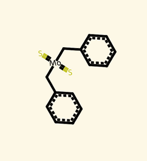 [S]=[Mo](=[S])([CH2]c1ccccc1)[CH2]c1ccccc1